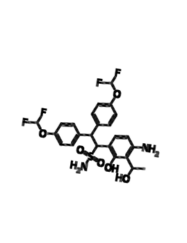 CC(O)c1c(N)ccc(C(C(c2ccc(OC(F)F)cc2)c2ccc(OC(F)F)cc2)S(N)(=O)=O)c1O